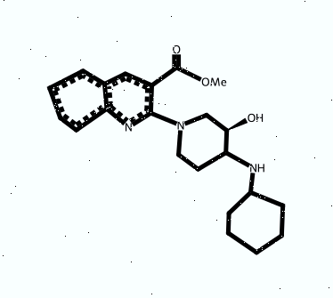 COC(=O)c1cc2ccccc2nc1N1CCC(NC2CCCCC2)[C@H](O)C1